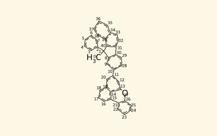 CC1(c2ccccc2)c2cc(-c3cc4c5c(cccc5c3)-c3ccccc3O4)ccc2-c2ccc3ccccc3c21